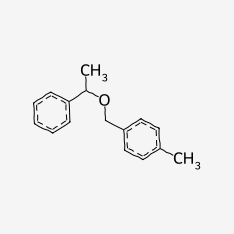 Cc1ccc(COC(C)c2ccccc2)cc1